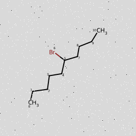 CCCC[CH]C(Br)CCCC